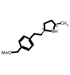 COCc1ccc(CC[C@H]2CC[C@@H](C)N2)cc1